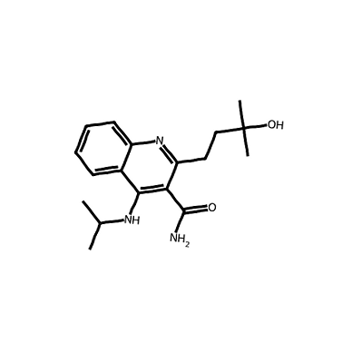 CC(C)Nc1c(C(N)=O)c(CCC(C)(C)O)nc2ccccc12